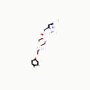 Cc1cc(CNC(=O)[C@@H]2CO[C@@H](NC(=O)COc3ccc(Cl)c(F)c3)CO2)n(C)n1